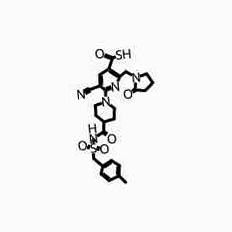 Cc1ccc(CS(=O)(=O)NC(=O)C2CCN(c3nc(CN4CCCC4=O)c(C(=O)S)cc3C#N)CC2)cc1